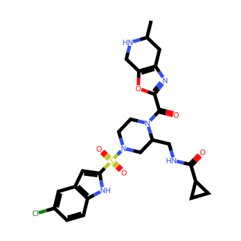 CC1Cc2nc(C(=O)N3CCN(S(=O)(=O)c4cc5cc(Cl)ccc5[nH]4)CC3CNC(=O)C3CC3)oc2CN1